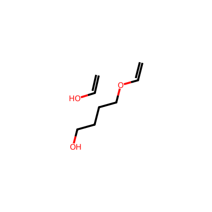 C=CO.C=COCCCCO